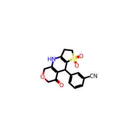 N#Cc1cccc(C2C3=C(COCC3=O)NC3=C2S(=O)(=O)CC3)c1